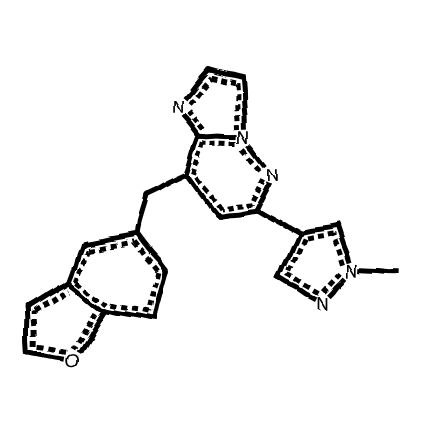 Cn1cc(-c2cc(Cc3ccc4occc4c3)c3nccn3n2)cn1